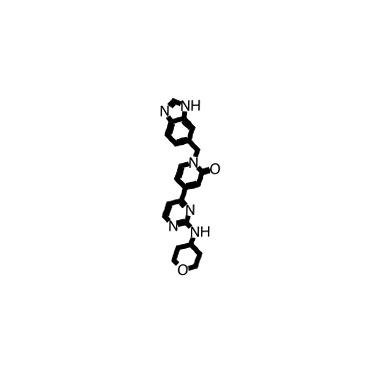 O=c1cc(-c2ccnc(NC3CCOCC3)n2)ccn1Cc1ccc2nc[nH]c2c1